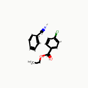 CCOC(=O)c1ccc(Cl)cc1.N#Cc1ccccc1